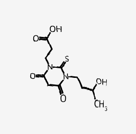 CC(O)CCN1C(=O)CC(=O)N(CCC(=O)O)C1=S